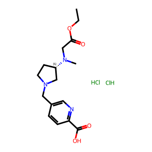 CCOC(=O)CN(C)[C@H]1CCN(Cc2ccc(C(=O)O)nc2)C1.Cl.Cl